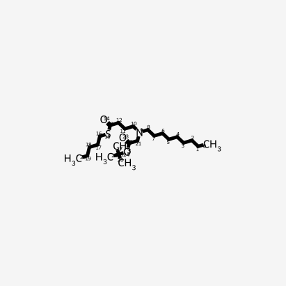 CCCCCCCCCN(CCCC(=O)SCCCCC)CC(=O)OC(C)(C)C